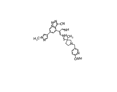 COc1ccc(CN2CCC(C)(SN/C=C(\C=N)c3cc(-c4cnn(C)c4)cn4nnc(C#N)c34)C2)cn1